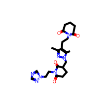 Cc1nn(CC2CCC(=O)N(CCn3cncn3)C2=O)c(C)c1CCN1C(=O)CCCC1=O